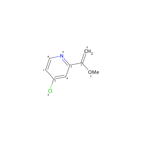 C=C(OC)c1cc(Cl)ccn1